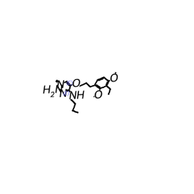 C=N/C=C(OCCCc1ccc(OC)c(CC)c1OC)\C(=N/N)NCCCC